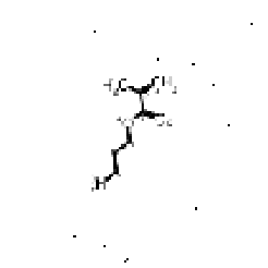 [3H][CH]CCOC(=O)C(=C)C